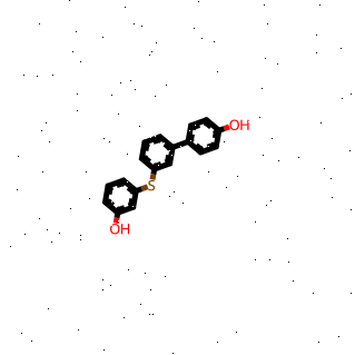 Oc1ccc(-c2cccc(Sc3cccc(O)c3)c2)cc1